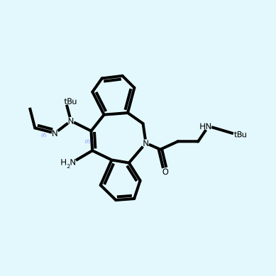 C/C=N\N(/C1=C(\N)c2ccccc2N(C(=O)CCNC(C)(C)C)Cc2ccccc21)C(C)(C)C